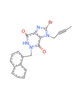 CC#CCn1c(Br)nc2c(=O)[nH]n(Cc3cccc4ccccc34)c(=O)c21